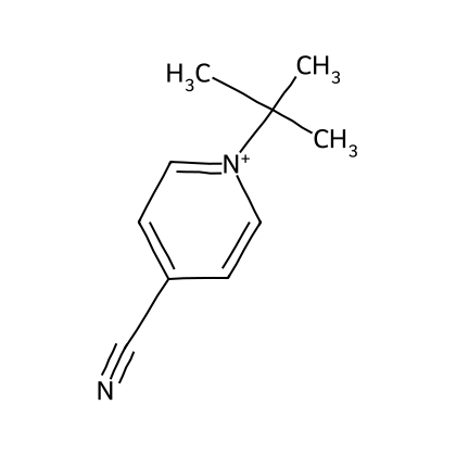 CC(C)(C)[n+]1ccc(C#N)cc1